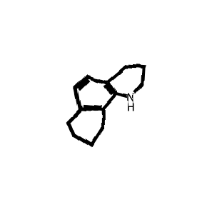 c1cc2c(c3c1CCCC3)NCCC2